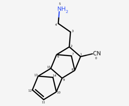 N#CC1C(CCN)C2CC1C1C3C=CC(C3)C21